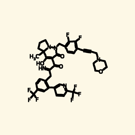 CC12CCCN1N(Cc1ccc(C#CCN3CCOCC3)c(F)c1F)C(=O)C(C(=O)C(=N)Cc1ccc(C(F)(F)F)cc1-c1ccc(C(F)(F)F)nc1)=C2O